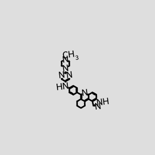 CN1CCN(c2ncc(Nc3ccc(-c4nc5ccc6[nH]ncc6c5c5c4CCCC5)cc3)cn2)CC1